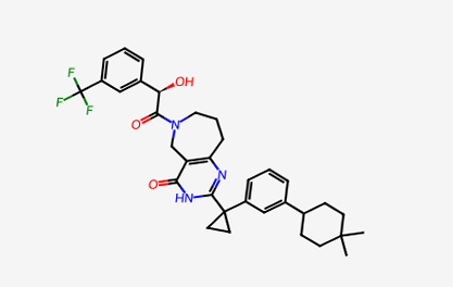 CC1(C)CCC(c2cccc(C3(c4nc5c(c(=O)[nH]4)CN(C(=O)[C@H](O)c4cccc(C(F)(F)F)c4)CCC5)CC3)c2)CC1